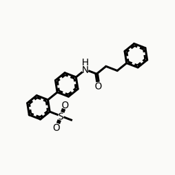 CS(=O)(=O)c1ccccc1-c1ccc(NC(=O)CCc2ccccc2)cc1